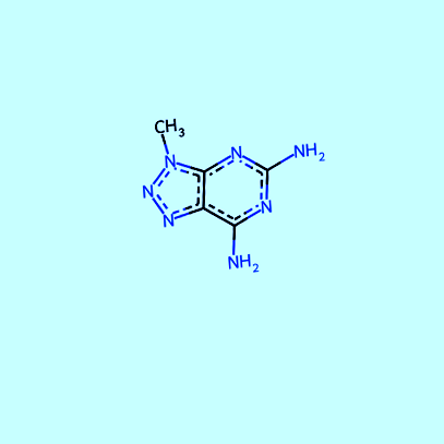 Cn1nnc2c(N)nc(N)nc21